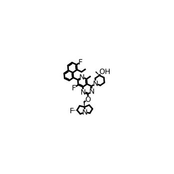 CCc1c(F)ccc2cccc(-c3nc(C)c4c(N5CCC[C@@](C)(O)C5)nc(OC[C@@]56CCCN5C[C@H](F)C6)nc4c3F)c12